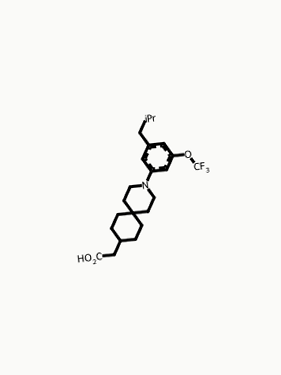 CC(C)Cc1cc(OC(F)(F)F)cc(N2CCC3(CCC(CC(=O)O)CC3)CC2)c1